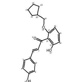 O=C(/C=C/c1ccc(O)cc1)c1c(O)cccc1OCC1CCCC1